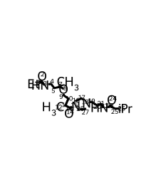 CCC(=O)NCCC(C)OCCC(C)C(=O)N1CCN(CCCNC(=O)CC(C)C)CC1